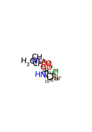 C[N+](C)(C)CCOP(=O)([O-])Oc1c[nH]c2ccc(Br)c(Cl)c12